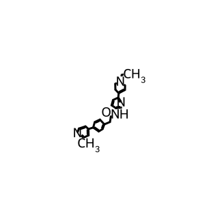 CCN1CC=C(c2ccc(NC(=O)Cc3ccc(-c4ccnc(C)c4)cc3)cn2)CC1